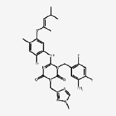 C/C(=C\C(C)C)Sc1cc(Nc2nc(=O)n(Cc3ncn(C)n3)c(=O)n2Cc2cc(P)c(F)cc2F)c(Br)cc1C